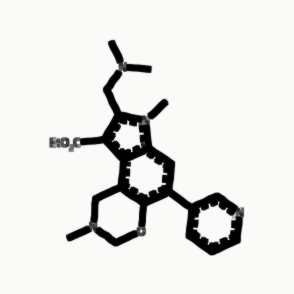 CCOC(=O)c1c(CN(C)C)n(C)c2cc(-c3cccnc3)c3c(c12)CN(C)CO3